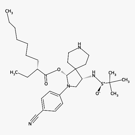 CCCCCCC[C@@H](CC)C(=O)O[C@H]1N(c2ccc(C#N)cc2)C[C@@H](N[S@+]([O-])C(C)(C)C)C12CCNCC2